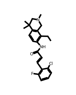 CCc1c(NC(=O)/C=C/c2c(F)cccc2Cl)ccc2c1CN(C)CC2(C)C